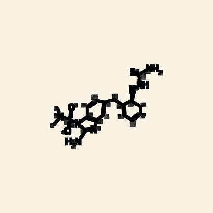 CN(C)S(=O)(=O)n1c(N)nc2cc(CC3=CC=CCC3=NNC(N)=S)ccc21